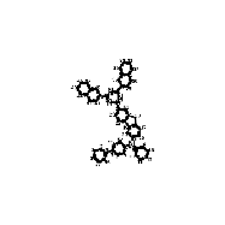 c1ccc(-c2ccc(N(c3ccccc3)c3ccc4c(c3)-c3ccc(-c5nc(-c6ccc7ccccc7c6)nc(-c6ccc7ccccc7c6)n5)cc3C4)cc2)cc1